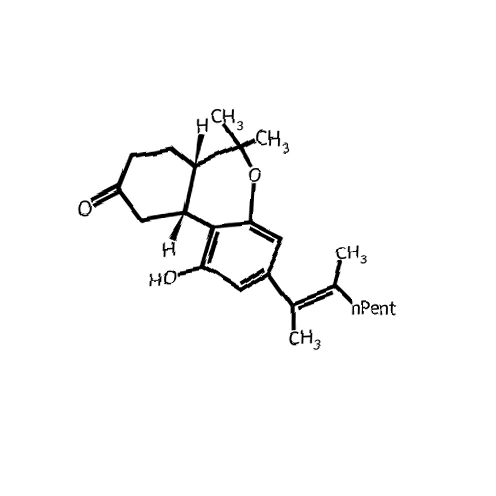 CCCCCC(C)=C(C)c1cc(O)c2c(c1)OC(C)(C)[C@H]1CCC(=O)C[C@@H]21